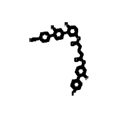 N#Cc1ccc(-c2ccc(-c3cc(OC(=O)CCCC(=O)Oc4ccc(-c5ccc(F)cc5)c(F)c4)ccc3F)cc2F)cc1